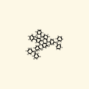 c1ccc(N(c2ccccc2)c2ccc3c(c2)Oc2cc4c5c6c2B3c2cccc3c2N6c2c(cc6c(oc7ccccc76)c2N3c2ccccc2)B5c2ccc(N(c3ccccc3)c3ccccc3)cc2O4)cc1